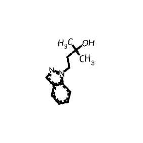 CC(C)(O)CCn1ncc2ccccc21